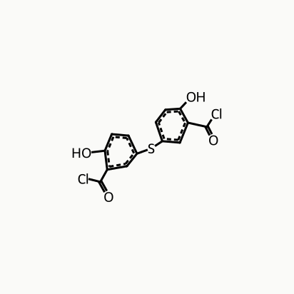 O=C(Cl)c1cc(Sc2ccc(O)c(C(=O)Cl)c2)ccc1O